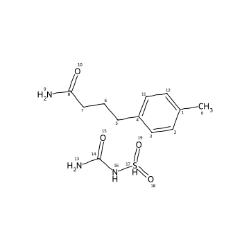 Cc1ccc(CCCC(N)=O)cc1.NC(=O)N[SH](=O)=O